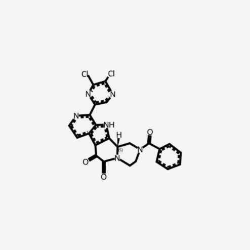 O=C1C(=O)N2CCN(C(=O)c3ccccc3)C[C@H]2c2[nH]c3c(-c4cnc(Cl)c(Cl)n4)nccc3c21